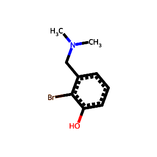 CN(C)Cc1cccc(O)c1Br